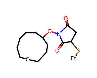 CCSC1CC(=O)N(OC2CCCCCCCCC2)C1=O